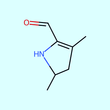 CC1=C(C=O)NC(C)C1